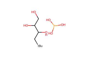 CC(C)(C)CC(O)C(O)CO.OP(O)O